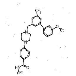 CCCNC(=O)c1ccc(N2CCN(Cc3cc(-c4cccc(OCC)c4)cc(C(F)(F)F)c3)CC2)cc1